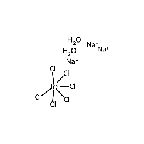 O.O.[Cl][Ir-3]([Cl])([Cl])([Cl])([Cl])[Cl].[Na+].[Na+].[Na+]